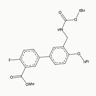 CCCOc1ccc(-c2ccc(F)c(C(=O)OC)c2)cc1CNC(=O)OC(C)(C)C